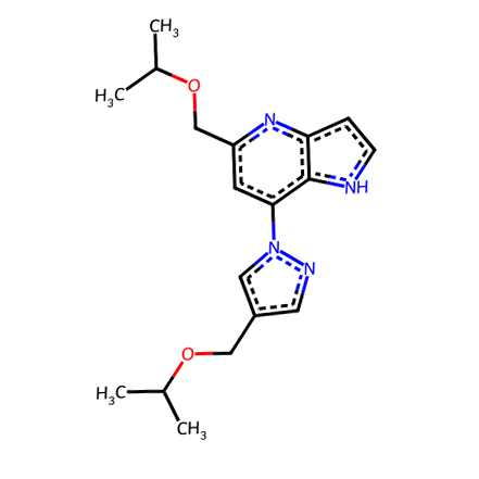 CC(C)OCc1cnn(-c2cc(COC(C)C)nc3cc[nH]c23)c1